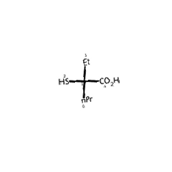 CCCC(S)(CC)C(=O)O